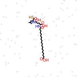 CC(C)C[C@H](NC(O)CCC(NC(=O)CCCCCCCCCCCCCCCCCCC(=O)O)C(=O)O)C(=O)S